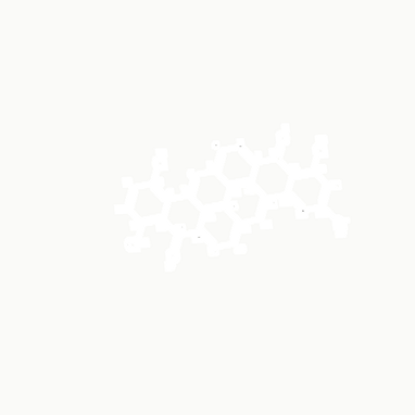 O=c1c2ccc3cc4c5c(Cl)ccc(Cl)c5c(=O)c5ccc6cc(c7cc(Br)cc(Cl)c17)c2c3c6c54